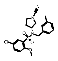 COc1ccc(Cl)cc1S(=O)(=O)N(Cc1cccc(C)c1)[C@@H]1CCN(C#N)C1